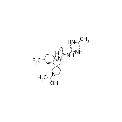 CC1CNC(NC(=O)N2CC3(CCN(C(C)O)C3)C3=CC(C(F)(F)F)CC[C@@H]32)=CN1